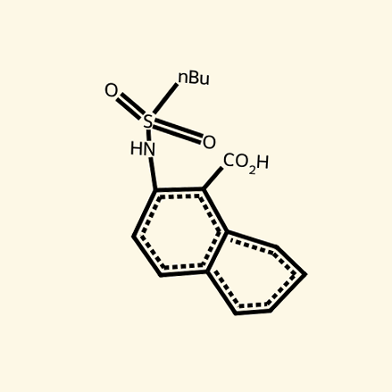 CCCCS(=O)(=O)Nc1ccc2ccccc2c1C(=O)O